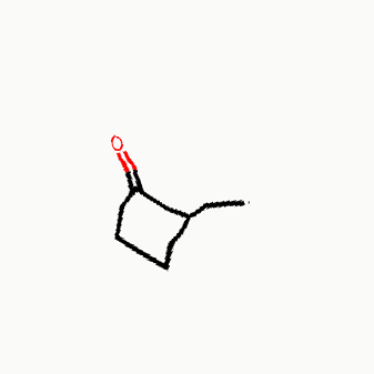 [CH2]C1CCC1=O